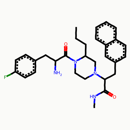 CCCC1CN(C(Cc2ccc3ccccc3c2)C(=O)NC)CCN1C(=O)C(N)Cc1ccc(F)cc1